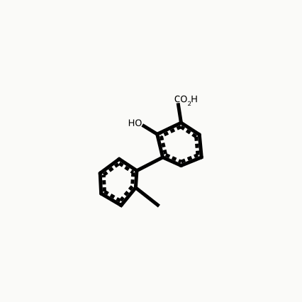 Cc1ccccc1-c1cccc(C(=O)O)c1O